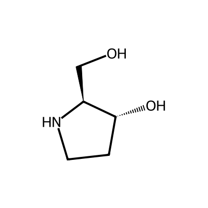 OC[C@@H]1NCC[C@H]1O